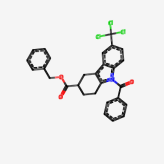 O=C(OCc1ccccc1)C1CCc2c(c3cc(C(Cl)(Cl)Cl)ccc3n2C(=O)c2ccccc2)C1